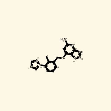 Cc1c(COc2cc(N)nc3[nH]nnc23)cccc1-n1cncn1